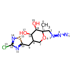 C[C@]1(CN=[N+]=[N-])OCC(Cc2nc(Cl)ns2)[C@@H](O)[C@H]1O